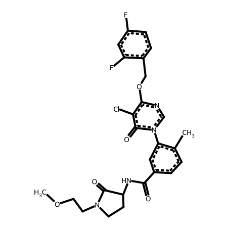 COCCN1CCC(NC(=O)c2ccc(C)c(-n3cnc(OCc4ccc(F)cc4F)c(Cl)c3=O)c2)C1=O